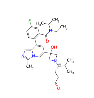 CCN(C(=O)c1cc(F)ccc1-c1cc(C2(O)CN([C@@H](CCC=O)C(C)C)C2)cn2c(C)ncc12)C(C)C